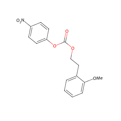 COc1ccccc1CCOC(=O)Oc1ccc([N+](=O)[O-])cc1